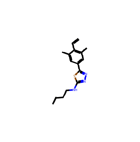 C=Cc1c(C)cc(-c2nnc(NCCCC)s2)cc1C